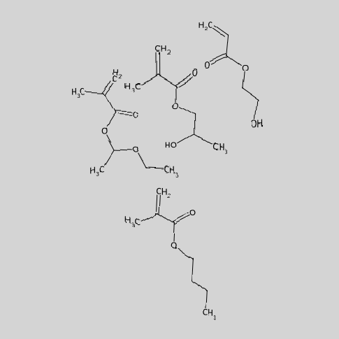 C=C(C)C(=O)OC(C)OCC.C=C(C)C(=O)OCC(C)O.C=C(C)C(=O)OCCCC.C=CC(=O)OCCO